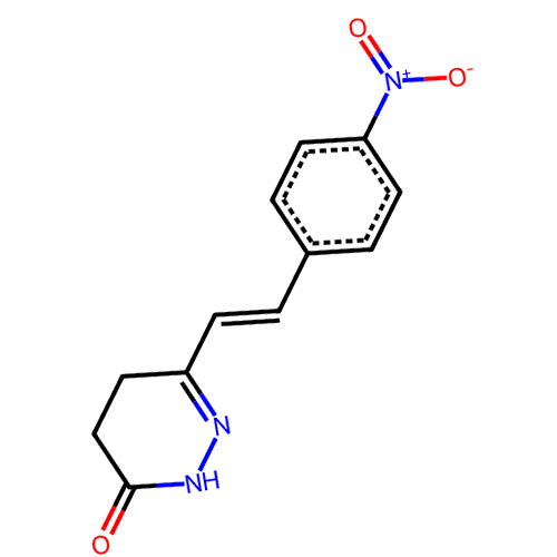 O=C1CCC(C=Cc2ccc([N+](=O)[O-])cc2)=NN1